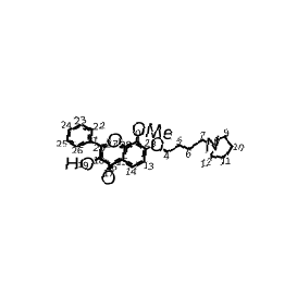 COc1c(OCCCCN2CCCC2)ccc2c(=O)c(O)c(-c3ccccc3)oc12